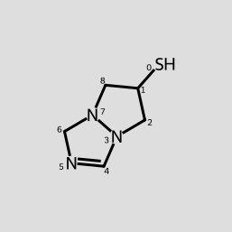 SC1CN2C=NCN2C1